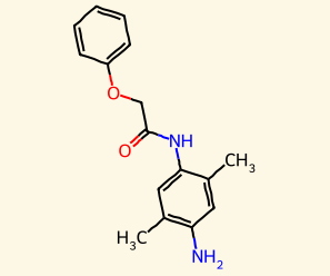 Cc1cc(NC(=O)COc2ccccc2)c(C)cc1N